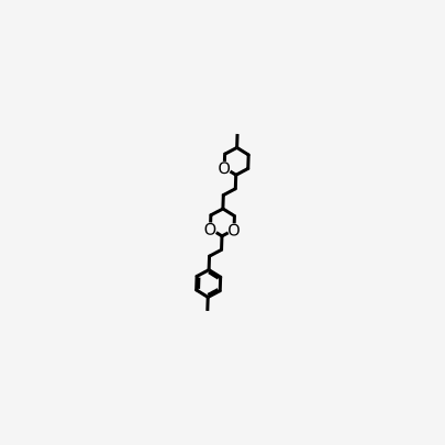 Cc1ccc(CCC2OCC(CCC3CCC(C)CO3)CO2)cc1